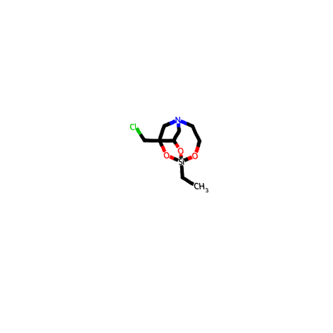 CC[Si]12OCCN(CCO1)CC(CCl)O2